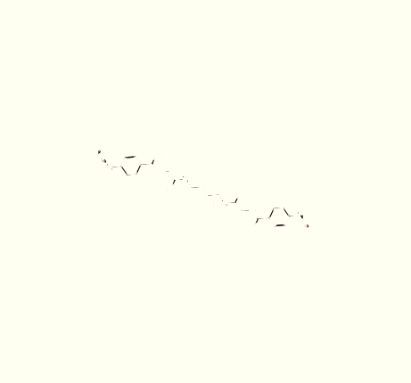 O=C=Nc1ccc(C(=O)OCC(=O)NCCCCNC(=O)COC(=O)c2ccc(N=C=O)cc2)cc1